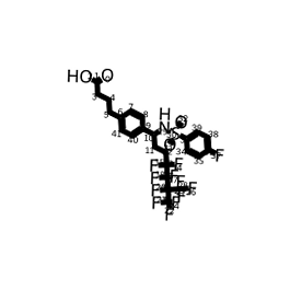 O=C(O)CCCc1ccc(C(CCC(F)(F)C(F)(F)C(F)(C(F)(F)F)C(F)(F)F)NS(=O)(=O)c2ccc(F)cc2)cc1